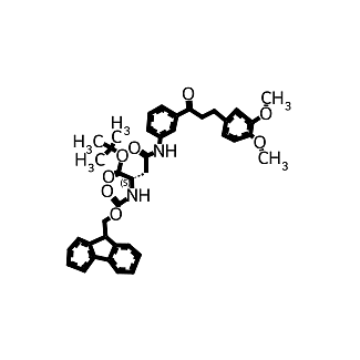 COc1ccc(CCC(=O)c2cccc(NC(=O)C[C@H](NC(=O)OCC3c4ccccc4-c4ccccc43)C(=O)OC(C)(C)C)c2)cc1OC